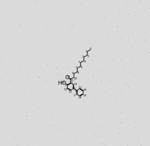 CCCCCCCCCCCC(=O)c1cc(-c2ccccc2)ccc1O